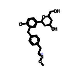 CO/N=C/Cc1ccc(Cc2cc(C3CC(O)CC(CO)O3)ccc2Cl)cc1